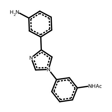 CC(=O)Nc1cccc(-n2cnc(-c3cccc(N)c3)c2)c1